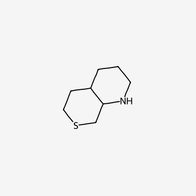 C1CNC2CSCCC2C1